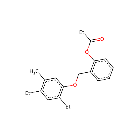 CCC(=O)Oc1ccccc1COc1cc(C)c(CC)cc1CC